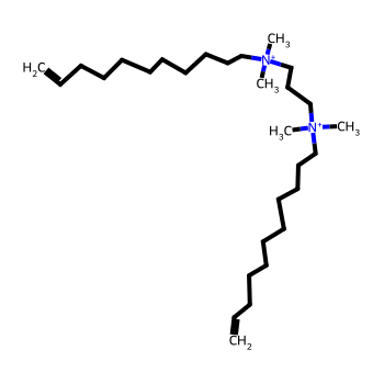 C=CCCCCCCCCC[N+](C)(C)CCC[N+](C)(C)CCCCCCCCCC=C